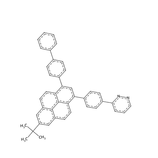 CC(C)(C)c1cc2ccc3c(-c4ccc(-c5ccccc5)cc4)cc(-c4ccc(-c5cccnn5)cc4)c4ccc(c1)c2c34